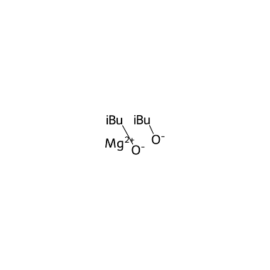 CCC(C)[O-].CCC(C)[O-].[Mg+2]